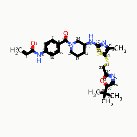 C=CC(=O)Nc1ccc(C(=O)N2CCCC(Nc3nc(C)c(SCc4ncc(C(C)(C)C)o4)s3)C2)cc1